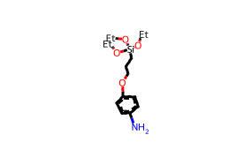 CCO[Si](CCCOc1ccc(N)cc1)(OCC)OCC